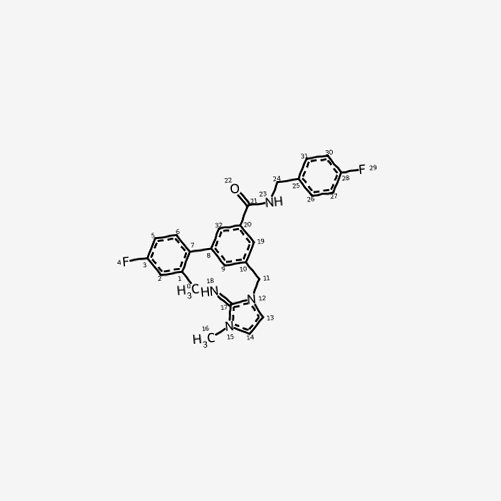 Cc1cc(F)ccc1-c1cc(Cn2ccn(C)c2=N)cc(C(=O)NCc2ccc(F)cc2)c1